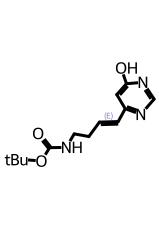 CC(C)(C)OC(=O)NCC/C=C/c1cc(O)ncn1